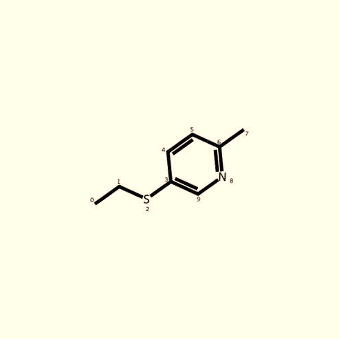 CCSc1ccc(C)nc1